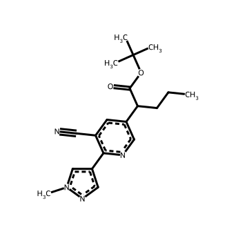 CCCC(C(=O)OC(C)(C)C)c1cnc(-c2cnn(C)c2)c(C#N)c1